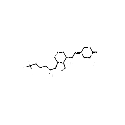 C=C1CC/C(=C/CC2CCC[C@]3(C)[C@@H]([C@@H](C)CCCC(C)(C)O)CC[C@@H]23)C[C@H]1O